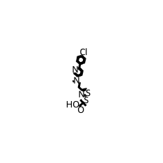 CN(CCc1csc(SC(C)(C)C(=O)O)n1)c1ccc(-c2ccc(Cl)cc2)nc1